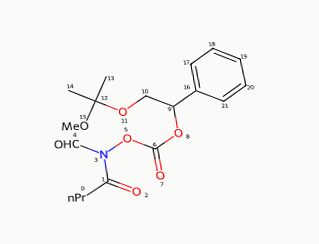 CCCC(=O)N(C=O)OC(=O)OC(COC(C)(C)OC)c1ccccc1